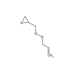 C=CCOOCC1CO1